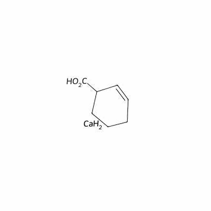 O=C(O)C1C=CCCC1.[CaH2]